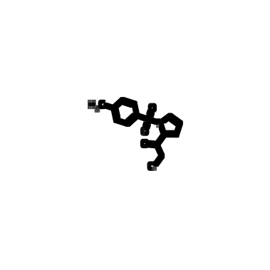 Cc1ccc(S(=O)(=O)n2cccc2C(=O)CCl)cc1